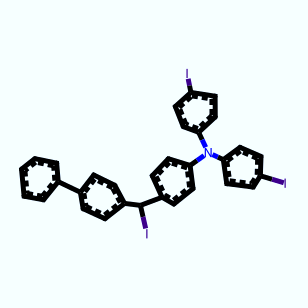 Ic1ccc(N(c2ccc(I)cc2)c2ccc(C(I)c3ccc(-c4ccccc4)cc3)cc2)cc1